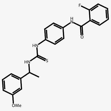 COc1cccc(C(C)NC(=S)Nc2ccc(NC(=O)c3ccccc3F)cc2)c1